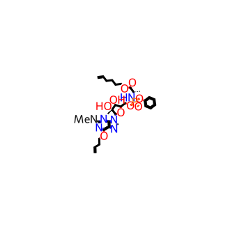 C=CCCCCOC(=O)[C@H](C)NP(=O)(OCC1OC(n2cnc3c(OCCC=C)nc(NC)nc32)[C@](C)(O)[C@@H]1O)Oc1ccccc1